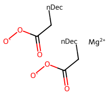 CCCCCCCCCCCC(=O)O[O-].CCCCCCCCCCCC(=O)O[O-].[Mg+2]